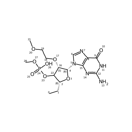 CC[C@H]1O[C@@H](n2cnc3c(=O)[nH]c(N)nc32)[C@@H](OCCOC)C1OP(=O)(O)OC